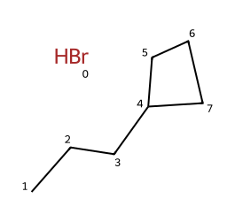 Br.CCCC1CCC1